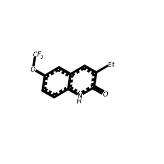 CCc1cc2cc(OC(F)(F)F)ccc2[nH]c1=O